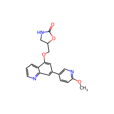 COc1ccc(-c2cc(OCC3CNC(=O)O3)c3cccnc3c2)cn1